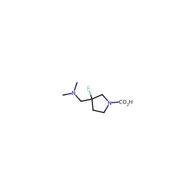 CN(C)CC1(F)CCN(C(=O)O)C1